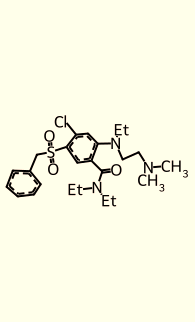 CCN(CC)C(=O)c1cc(S(=O)(=O)Cc2ccccc2)c(Cl)cc1N(CC)CCN(C)C